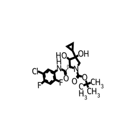 CC(C)(C)OC(=O)N1CC(O)(C2CC2)C(O)[C@H]1C(=O)Nc1cc(Cl)c(F)cc1F